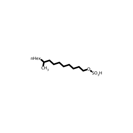 CCCCCCC(C)CCCCCCCCOS(=O)(=O)O